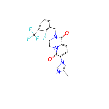 Cc1cn(-c2ccc3n(c2=O)CCN(Cc2cccc(C(F)(F)F)c2F)C3=O)cn1